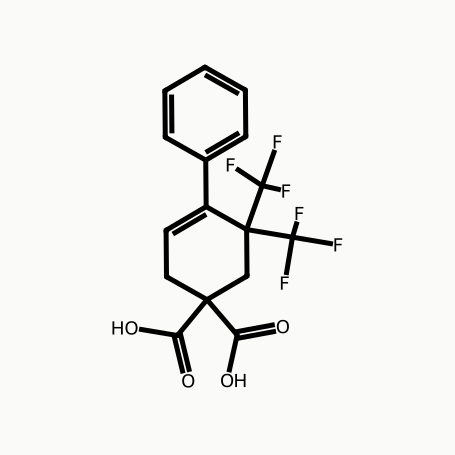 O=C(O)C1(C(=O)O)CC=C(c2ccccc2)C(C(F)(F)F)(C(F)(F)F)C1